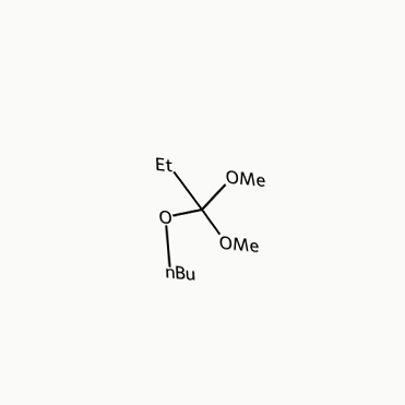 CCCCOC(CC)(OC)OC